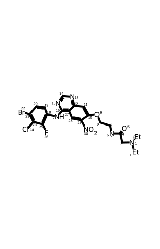 CCN(CC)CC(=O)[N]CCOc1cc2ncnc(Nc3ccc(Br)c(Cl)c3F)c2cc1[N+](=O)[O-]